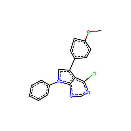 COc1ccc(-c2cn(-c3ccccc3)c3ncnc(Cl)c23)cc1